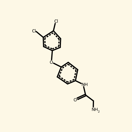 NCC(=O)Nc1ccc(Oc2ccc(Cl)c(Cl)c2)cc1